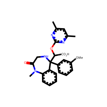 COc1cccc(C2(C(Oc3nc(C)cc(C)n3)C(=O)O)NCC(=O)N(C)c3ccccc32)c1